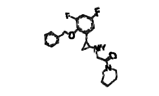 O=C(CNC1CC1c1cc(F)cc(F)c1OCc1ccccc1)N1CCCCC1